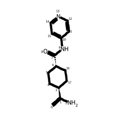 C=C(N)[C@H]1CC[C@H](C(=O)Nc2ccncc2)CC1